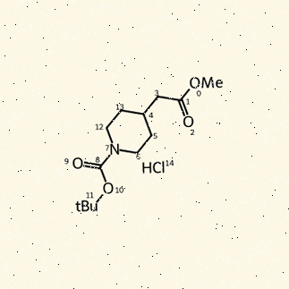 COC(=O)CC1CCN(C(=O)OC(C)(C)C)CC1.Cl